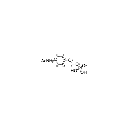 CC(=O)Nc1ccc(OCOP(=O)(O)O)cc1